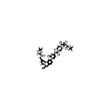 CCC(Cc1ccc(-n2ccc(NC(=O)N3CCN(C(=O)C(C)(C)NC(=O)OC(C)(C)C)CC3)nc2=O)cc1)N1CC2C(CNC(=O)OC(C)(C)C)C2C1